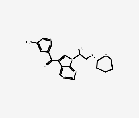 CC(CO[C@H]1CCCCO1)n1cc(C(=O)c2cncc(N)c2)c2cncnc21